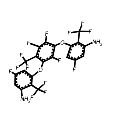 Nc1cc(F)cc(Oc2c(F)c(F)c(C(F)(F)F)c(Oc3cc(F)cc(N)c3C(F)(F)F)c2F)c1C(F)(F)F